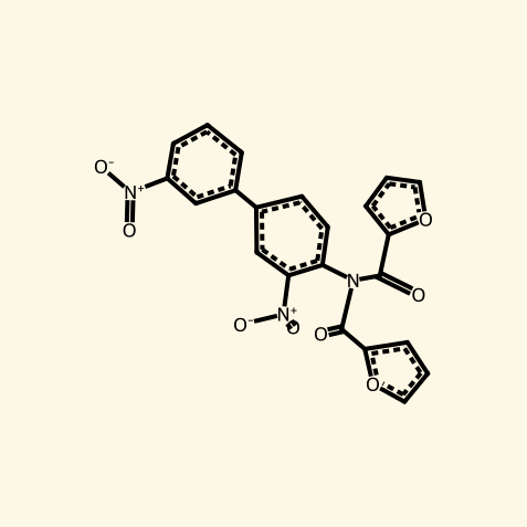 O=C(c1ccco1)N(C(=O)c1ccco1)c1ccc(-c2cccc([N+](=O)[O-])c2)cc1[N+](=O)[O-]